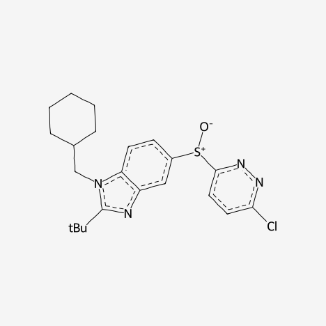 CC(C)(C)c1nc2cc([S+]([O-])c3ccc(Cl)nn3)ccc2n1CC1CCCCC1